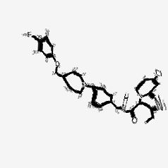 CCc1nc2cc(Cl)ccn2c1C(=O)NCc1ccc(N2CCC(COc3ccc(F)cc3)CC2)cc1